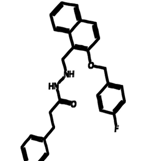 O=C(CCc1ccccc1)NNCc1c(OCc2ccc(F)cc2)ccc2ccccc12